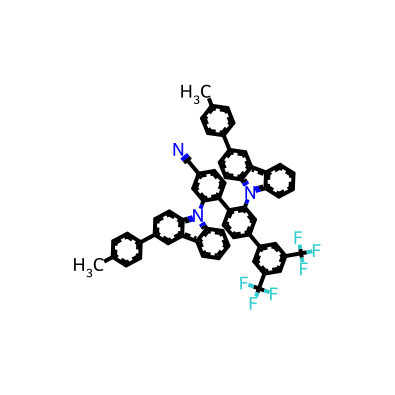 Cc1ccc(-c2ccc3c(c2)c2ccccc2n3-c2cc(C#N)ccc2-c2ccc(-c3cc(C(F)(F)F)cc(C(F)(F)F)c3)cc2-n2c3ccccc3c3cc(-c4ccc(C)cc4)ccc32)cc1